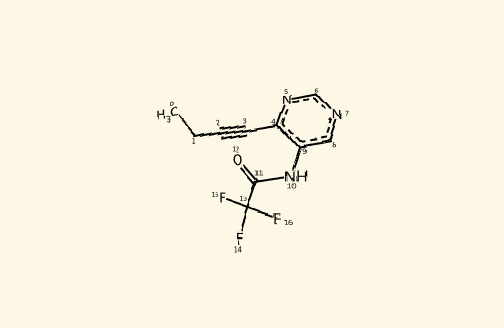 CCC#Cc1ncncc1NC(=O)C(F)(F)F